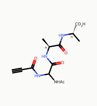 C#CC(=O)NC(NC(C)=O)C(=O)N[C@@H](C)C(=O)N[C@@H](C)C(=O)O